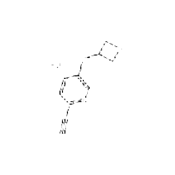 C#Cc1ccc(OC2CNC2)cn1.Cl